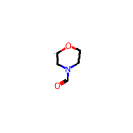 O=CN1C[CH]OCC1